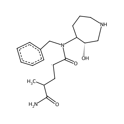 CC(C[CH]C(=O)N(Cc1ccccc1)C1CCCNC[C@@H]1O)C(N)=O